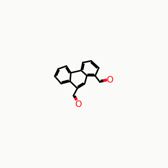 O=Cc1cc2c(C=O)cccc2c2ccccc12